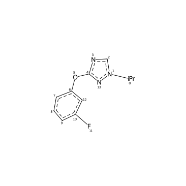 CC(C)n1cnc(Oc2cccc(F)c2)n1